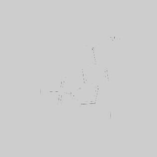 COC(=O)c1ccc2c(C)cn(S(C)(=O)=O)c2c1